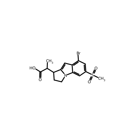 CC(C(=O)O)C1CCn2c1cc1c(Br)cc(S(C)(=O)=O)cc12